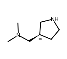 CN(C)C[C@@H]1CCNC1